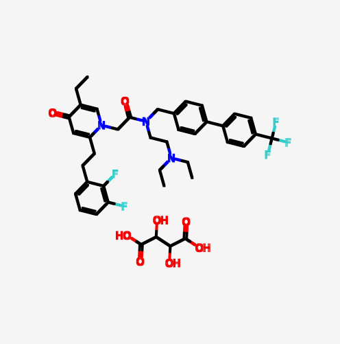 CCc1cn(CC(=O)N(CCN(CC)CC)Cc2ccc(-c3ccc(C(F)(F)F)cc3)cc2)c(CCc2cccc(F)c2F)cc1=O.O=C(O)C(O)C(O)C(=O)O